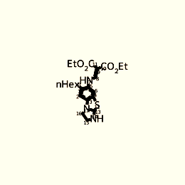 CCCCCCc1cc2c(cc1NC=C(C(=O)OCC)C(=O)OCC)SC1NCCN21